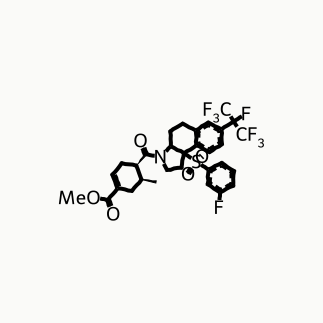 COC(=O)C1=CC[C@@H](C(=O)N2CCC3(S(=O)(=O)c4cccc(F)c4)c4ccc(C(F)(C(F)(F)F)C(F)(F)F)cc4CCC23)[C@@H](C)C1